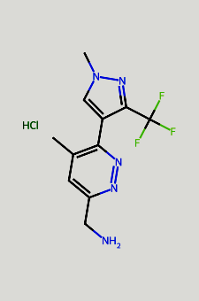 Cc1cc(CN)nnc1-c1cn(C)nc1C(F)(F)F.Cl